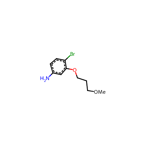 COCCCOc1cc(N)ccc1Br